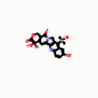 CC[C@@]1(O)C(=O)OCc2c1cc1n(c2=O)Cc2c-1nc1ccc(O)cc1c2[Si](C)(C)O